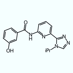 CC(C)n1cnnc1-c1cccc(NC(=O)c2cccc(O)c2)n1